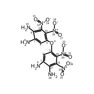 Nc1cc(Oc2cc(N)c(N)c([N+](=O)[O-])c2[N+](=O)[O-])c([N+](=O)[O-])c([N+](=O)[O-])c1N